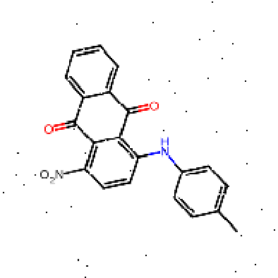 Cc1ccc(Nc2ccc([N+](=O)[O-])c3c2C(=O)c2ccccc2C3=O)cc1